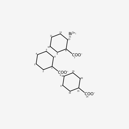 O=C([O-])C1CCCCC1.O=C([O-])C1CCCCC1.O=C([O-])C1CCCCC1.[Bi+3]